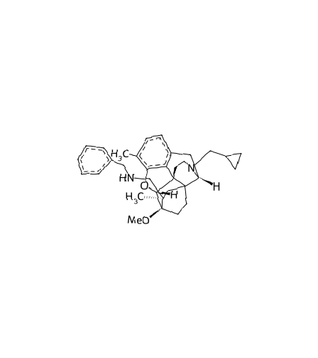 CO[C@]12CCC3(C[C@]1(C)CNCc1ccccc1)[C@H]1Cc4ccc(C)c5c4[C@@]3(CCN1CC1CC1)[C@H]2O5